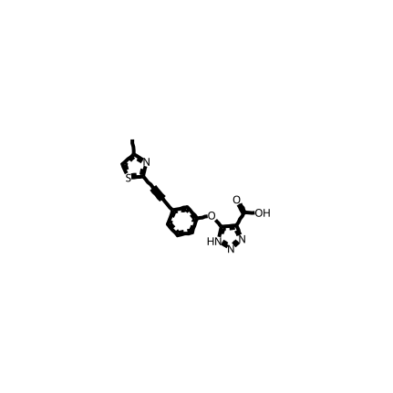 Cc1csc(C#Cc2cccc(Oc3[nH]nnc3C(=O)O)c2)n1